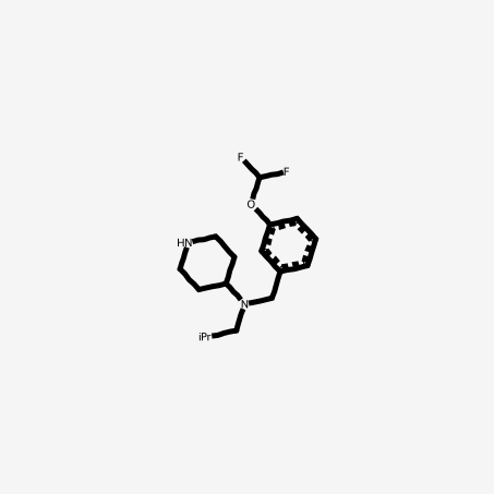 CC(C)CN(Cc1cccc(OC(F)F)c1)C1CCNCC1